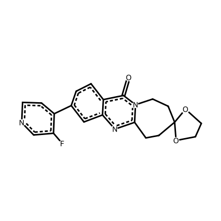 O=c1c2ccc(-c3ccncc3F)cc2nc2n1CCC1(CC2)OCCO1